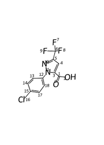 O=C(O)c1cc(C(F)(F)F)nn1-c1ccc(Cl)cc1